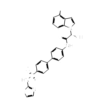 C[C@@H](C(=O)Nc1ccc(-c2ccc(S(=O)(=O)Nc3nccs3)cc2)cc1)n1ccc2c(F)cccc21